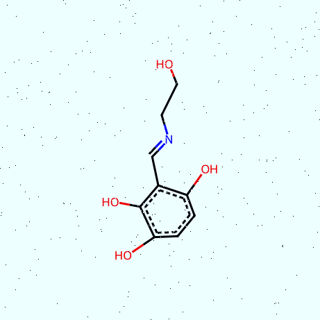 OCCN=Cc1c(O)ccc(O)c1O